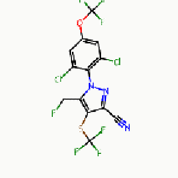 N#Cc1nn(-c2c(Cl)cc(OC(F)(F)F)cc2Cl)c(CF)c1SC(F)(F)F